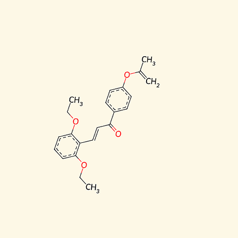 C=C(C)Oc1ccc(C(=O)C=Cc2c(OCC)cccc2OCC)cc1